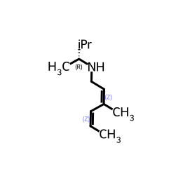 C/C=C\C(C)=C/CN[C@H](C)C(C)C